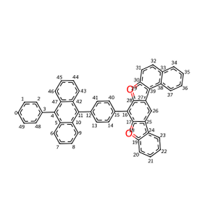 c1ccc(-c2c3ccccc3c(-c3ccc(-c4c5oc6ccccc6c5cc5c4oc4ccc6ccccc6c45)cc3)c3ccccc23)cc1